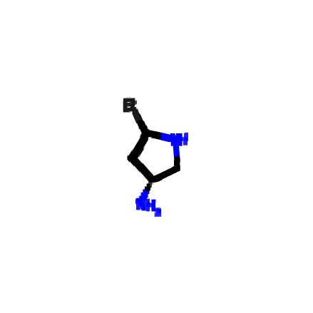 CCC1C[C@@H](N)CN1